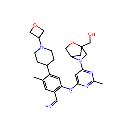 Cc1nc(Nc2cc(C3CCN(C4COC4)CC3)c(C)cc2C=N)cc(N2CC3(CO)CC2CO3)n1